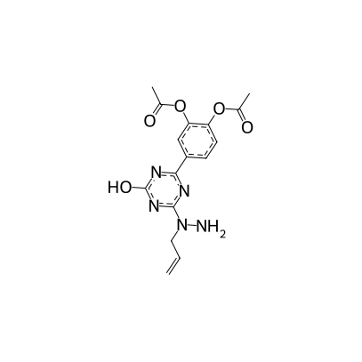 C=CCN(N)c1nc(O)nc(-c2ccc(OC(C)=O)c(OC(C)=O)c2)n1